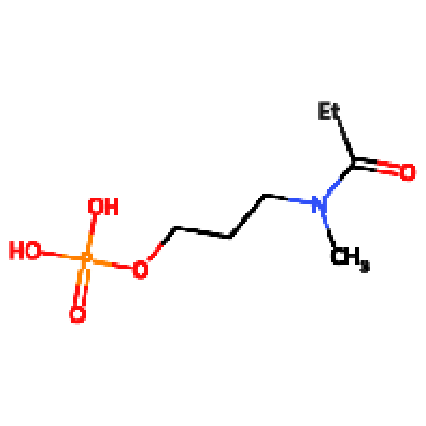 CCC(=O)N(C)CCCOP(=O)(O)O